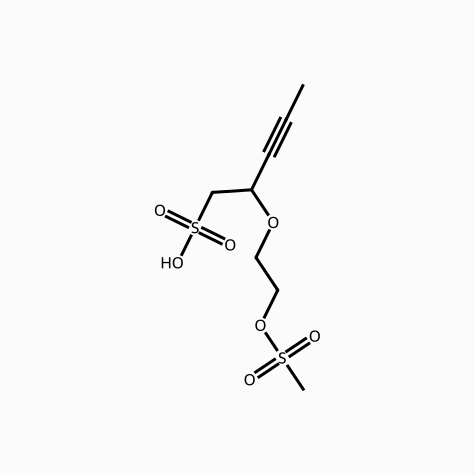 CC#CC(CS(=O)(=O)O)OCCOS(C)(=O)=O